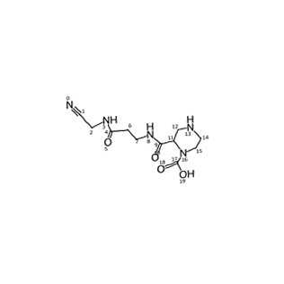 N#CCNC(=O)CCNC(=O)C1CNCCN1C(=O)O